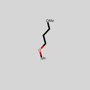 CC[CH]OCCCOC